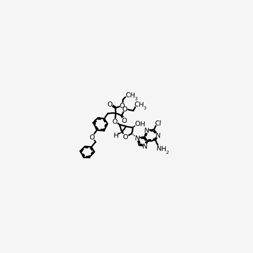 CCOC(=O)C(Cc1ccc(OCc2ccccc2)cc1)(OC1C2[C@@H]1O[C@@H](n1cnc3c(N)nc(Cl)nc31)[C@@H]2O)C(=O)OCC